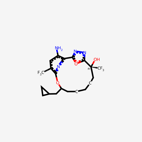 Nc1cc(C(F)(F)F)c2nc1-c1nnc(o1)[C@@](O)(C(F)(F)F)CCCCCC(CC1CC1)O2